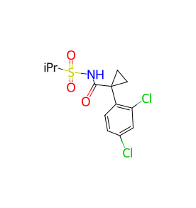 CC(C)S(=O)(=O)NC(=O)C1(c2ccc(Cl)cc2Cl)CC1